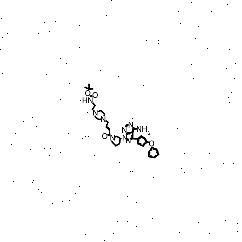 CC(C)(C)OC(=O)NCCN1CCN(C/C=C/C(=O)N2CCC[C@@H](n3nc(-c4ccc(Oc5ccccc5)cc4)c4c(N)ncnc43)C2)CC1